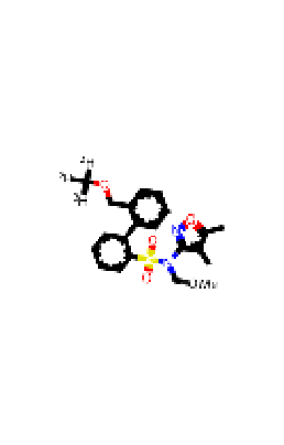 [2H]C([2H])([2H])OCc1ccccc1-c1ccccc1S(=O)(=O)N(COC)c1noc(C)c1C